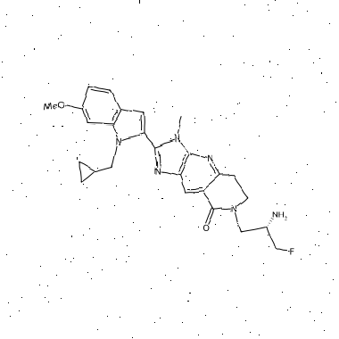 COc1ccc2cc(-c3nc4cc5c(nc4n3C)CCN(C[C@H](N)CF)C5=O)n(CC3CC3)c2c1